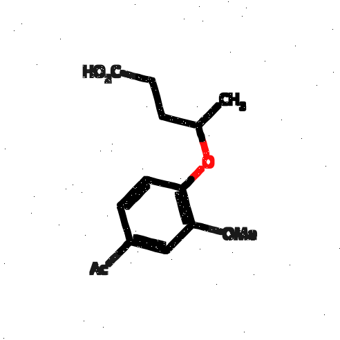 COc1cc(C(C)=O)ccc1OC(C)CCC(=O)O